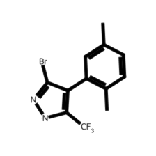 Cc1ccc(C)c(C2=C(C(F)(F)F)[N]N=C2Br)c1